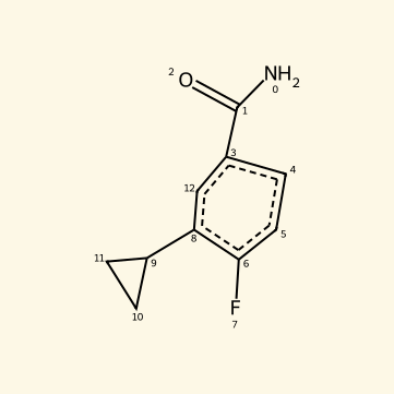 NC(=O)c1ccc(F)c(C2CC2)c1